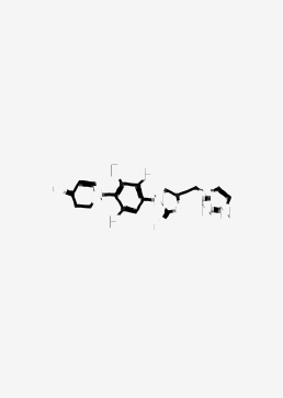 O=C1C=CN(c2c(F)cc(N3CC(Cn4ccnn4)OC3=O)c(F)c2F)CC1